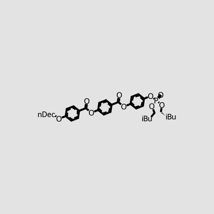 CCCCCCCCCCOc1ccc(C(=O)Oc2ccc(C(=O)Oc3ccc(OP(=O)(OCC(C)CC)OC[C@@H](C)CC)cc3)cc2)cc1